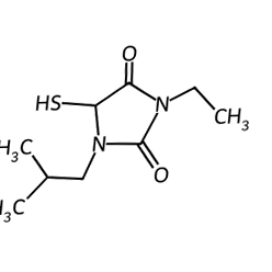 CCN1C(=O)C(S)N(CC(C)C)C1=O